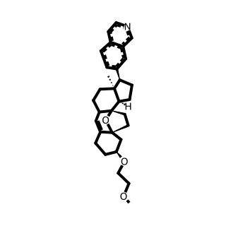 COCCO[C@H]1CCC2=CC3CC[C@@]4(C)[C@@H](c5ccc6ccncc6c5)CC[C@H]4[C@@]34CC[C@]2(C1)O4